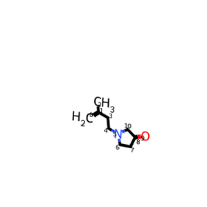 C=C(C)CCN1CCC(=O)C1